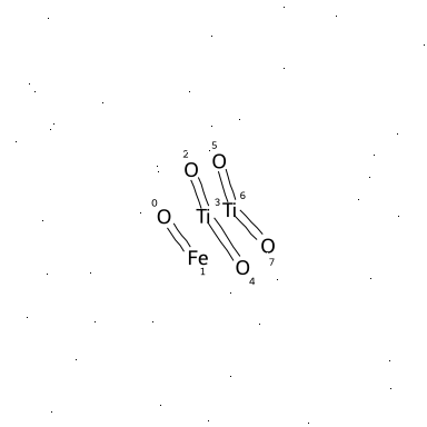 [O]=[Fe].[O]=[Ti]=[O].[O]=[Ti]=[O]